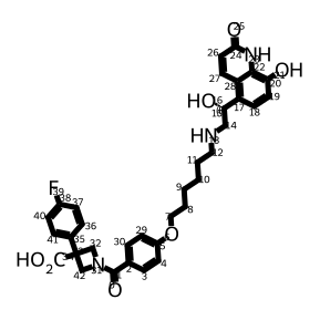 O=C(c1ccc(OCCCCCCNC[C@H](O)c2ccc(O)c3[nH]c(=O)ccc23)cc1)N1CC(C(=O)O)(c2ccc(F)cc2)C1